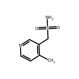 Cc1ccncc1CS(N)(=O)=O